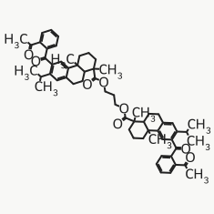 CC(=O)c1ccccc1C(=O)c1cc2c(cc1C(C)C)CCC1C(C)(C(=O)OCCCOC(=O)C3(C)CCCC4(C)c5cc(C(=O)c6ccccc6C(C)=O)c(C(C)C)cc5CCC34)CCCC21C